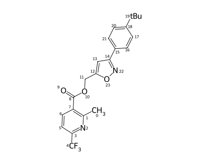 Cc1nc(C(F)(F)F)ccc1C(=O)OCc1cc(-c2ccc(C(C)(C)C)cc2)no1